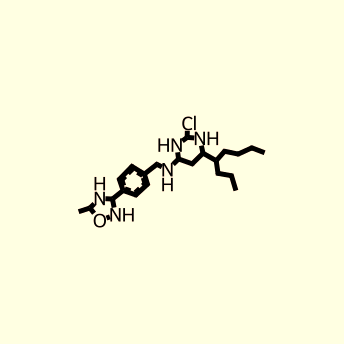 CCCCC(CCC)C1CC(NCc2ccc(C3NOC(C)N3)cc2)NC(Cl)N1